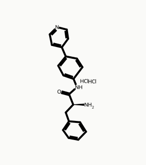 Cl.Cl.N[C@@H](Cc1ccccc1)C(=O)Nc1ccc(-c2ccncc2)cc1